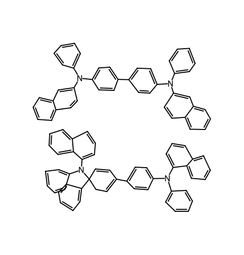 C1=CC(c2ccccc2)(N(c2ccccc2)c2cccc3ccccc23)CC=C1c1ccc(N(c2ccccc2)c2cccc3ccccc23)cc1.c1ccc(N(c2ccc(-c3ccc(N(c4ccccc4)c4ccc5ccccc5c4)cc3)cc2)c2ccc3ccccc3c2)cc1